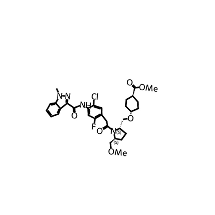 COC[C@@H]1CC[C@@H](CO[C@H]2CC[C@H](C(=O)OC)CC2)N1C(=O)Cc1cc(Cl)c(NC(=O)c2nn(C)c3ccccc23)cc1F